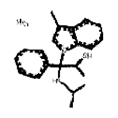 Cc1cn(C(NC(C)C)(c2ccccc2)C(C)O)c2ccccc12.Cl